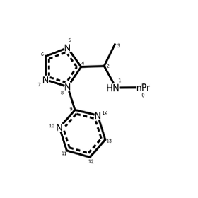 CCCNC(C)c1ncnn1-c1ncccn1